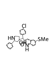 CSc1ccc2[nH]c(=O)c(C(c3ccc(Cl)cc3)C3(O)CCNC(c4ccccc4)C3)cc2c1